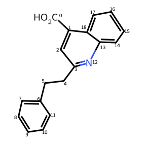 O=C(O)c1cc(CCc2ccccc2)nc2ccccc12